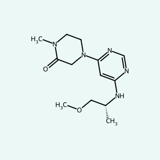 COC[C@@H](C)Nc1cc(N2CCN(C)C(=O)C2)ncn1